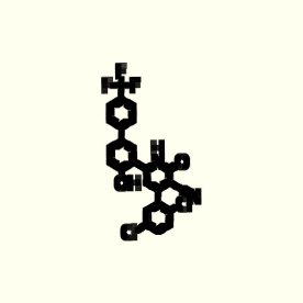 N#Cc1c(-c2cc(Cl)ccc2Cl)cc(-c2cc(-c3ccc(C(F)(F)F)cc3)ccc2O)[nH]c1=O